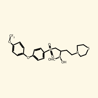 O=CN(O)C(CCN1CCSCC1)CS(=O)(=O)c1ccc(Oc2ccc(OC(F)(F)F)cc2)cc1